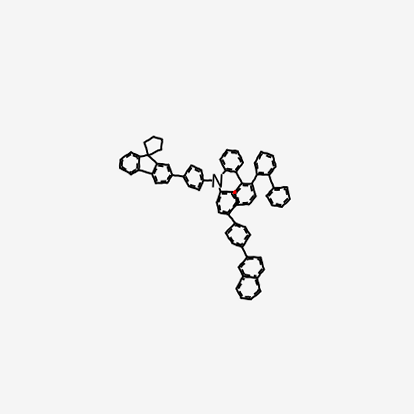 c1ccc(-c2ccccc2-c2ccccc2-c2ccccc2N(c2ccc(-c3ccc(-c4ccc5ccccc5c4)cc3)cc2)c2ccc(-c3ccc4c(c3)C3(CCCC3)c3ccccc3-4)cc2)cc1